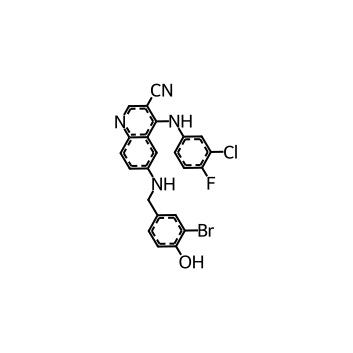 N#Cc1cnc2ccc(NCc3ccc(O)c(Br)c3)cc2c1Nc1ccc(F)c(Cl)c1